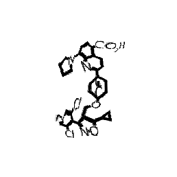 O=C(O)c1ccc(N2CCCC2)c2nc(C34CCC(OCc5c(-c6c(Cl)cncc6Cl)noc5C5CC5)(CC3)CC4)ccc12